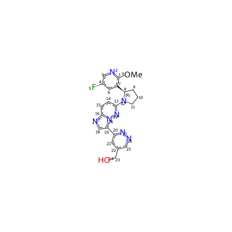 COc1ncc(F)cc1[C@H]1CCCN1c1ccc2ncc(-c3cc(CO)cnn3)n2n1